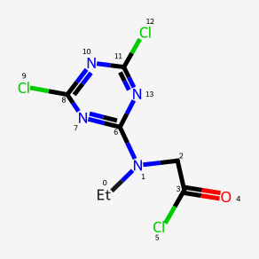 CCN(CC(=O)Cl)c1nc(Cl)nc(Cl)n1